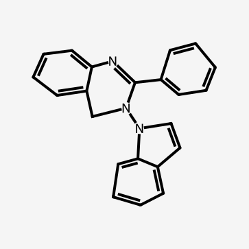 c1ccc(C2=Nc3ccccc3CN2n2ccc3ccccc32)cc1